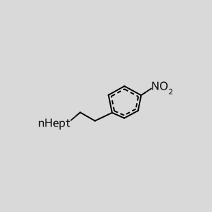 CCCCCCCCCc1ccc([N+](=O)[O-])cc1